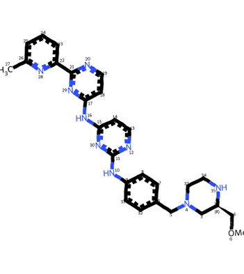 COC[C@H]1CN(Cc2ccc(Nc3nccc(Nc4ccnc(-c5cccc(C)n5)n4)n3)cc2)CCN1